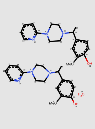 COc1cc(C(C)N2CCN(c3ccccn3)CC2)ccc1O.COc1cc(C(C)N2CCN(c3ccccn3)CC2)ccc1O.O